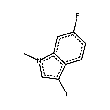 Cn1cc(I)c2ccc(F)cc21